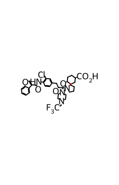 O=C(Nc1ccc(CC(=O)C(OC2CCC(C(=O)O)CC2)(N2CCCC2)N2CCN(CC(F)(F)F)CC2)cc1Cl)c1coc2ccccc12